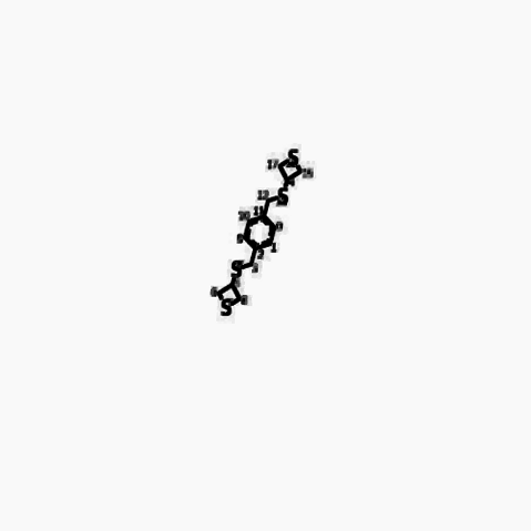 c1cc(CSC2CSC2)ccc1CSC1CSC1